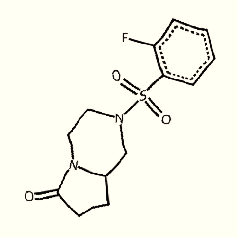 O=C1CCC2CN(S(=O)(=O)c3ccccc3F)CCN12